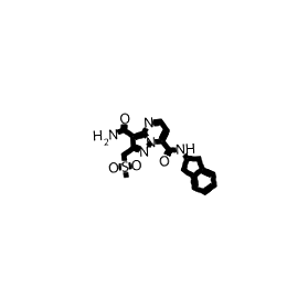 CS(=O)(=O)Cc1nn2c(C(=O)NC3Cc4ccccc4C3)ccnc2c1C(N)=O